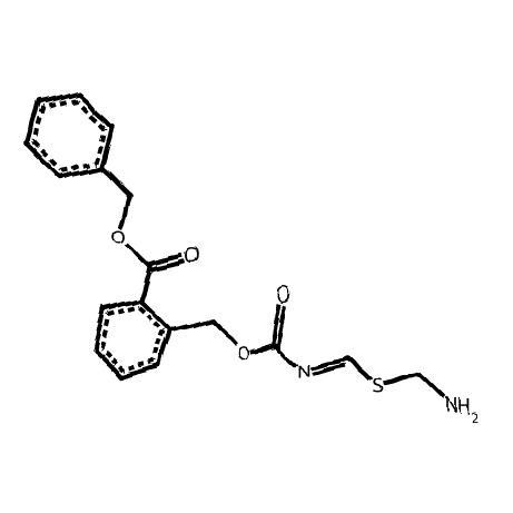 NCS/C=N/C(=O)OCc1ccccc1C(=O)OCc1ccccc1